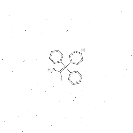 I.PC(I)=P(c1ccccc1)(c1ccccc1)c1ccccc1